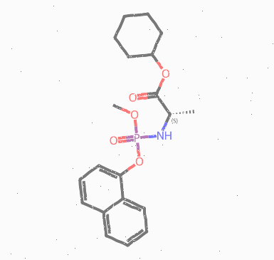 COP(=O)(N[C@@H](C)C(=O)OC1CCCCC1)Oc1cccc2ccccc12